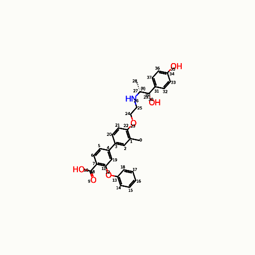 Cc1cc(-c2ccc(C(=O)O)c(Oc3ccccc3)c2)ccc1OCCN[C@H](C)[C@@H](O)c1ccc(O)cc1